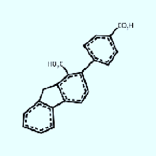 O=C(O)c1ccc(-c2ccc3c(c2C(=O)O)Cc2ccccc2-3)cc1